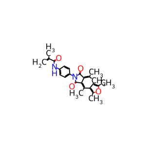 C=C(C)C(=O)Nc1ccc(N2C(=O)C(=C(C)C)/C(=C(/C)c3cc(C)oc3C)C2=O)cc1